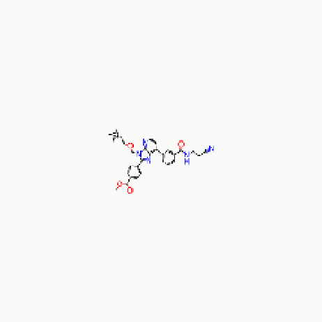 COC(=O)c1ccc(-c2nc3c(-c4cccc(C(=O)NCCC#N)c4)ccnc3n2COCC[Si](C)(C)C)cc1